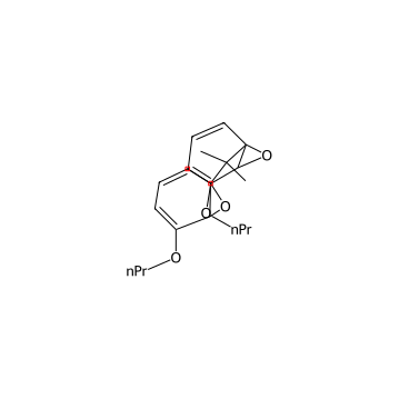 CCCOC1=CC=CC2(C(C)(C)C34C=CC=C(OCCC)C3O4)OC12